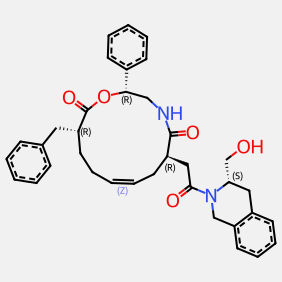 O=C1NC[C@@H](c2ccccc2)OC(=O)[C@@H](Cc2ccccc2)CC/C=C\C[C@@H]1CC(=O)N1Cc2ccccc2C[C@H]1CO